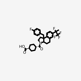 C[C@H]1CN(C(=O)[C@H]2CC[C@H](C(=O)O)CC2)C2CCc3cc(C(C)(F)C(F)(F)F)ccc3C21Cc1ccc(F)cc1